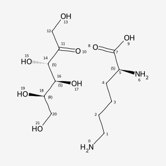 NCCCC[C@H](N)C(=O)O.O=C(CO)[C@@H](O)[C@@H](O)[C@H](O)CO